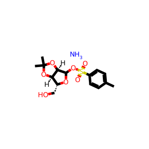 Cc1ccc(S(=O)(=O)OC2O[C@H](CO)[C@H]3OC(C)(C)O[C@@H]23)cc1.N